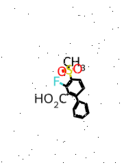 CS(=O)(=O)c1ccc(-c2ccccc2)c(C(=O)O)c1F